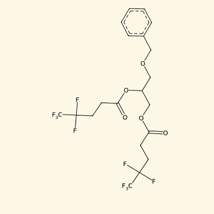 O=C(CCC(F)(F)C(F)(F)F)OCC(COCc1ccccc1)OC(=O)CCC(F)(F)C(F)(F)F